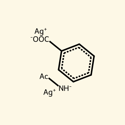 CC([NH-])=O.O=C([O-])c1ccccc1.[Ag+].[Ag+]